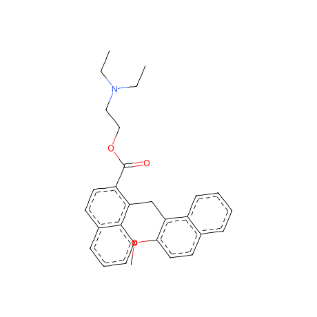 CCN(CC)CCOC(=O)c1ccc2ccccc2c1Cc1c(OC)ccc2ccccc12